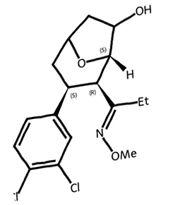 CCC(=NOC)[C@H]1[C@@H](c2ccc(Cl)c(Cl)c2)CC2CC(O)[C@H]1O2